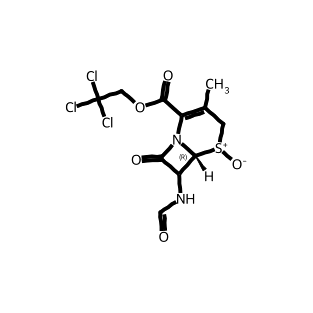 CC1=C(C(=O)OCC(Cl)(Cl)Cl)N2C(=O)C(NC=O)[C@H]2[S+]([O-])C1